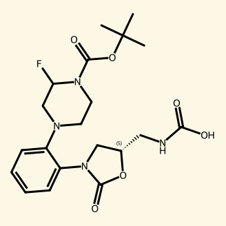 CC(C)(C)OC(=O)N1CCN(c2ccccc2N2C[C@H](CNC(=O)O)OC2=O)CC1F